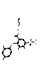 C=CCONC(=O)c1cc(S(=O)(=O)N(C)OC)c(F)c(F)c1Nc1ccc(I)cc1Cl